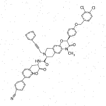 CN1C(=O)[C@H](c2ccc(OCc3ccc(Cl)c(Cl)c3)cc2)Oc2cc3c(cc21)C[C@@H](C(=O)NC(Cc1ccc(-c2ccc(C#N)cc2)cc1)C(=O)O)N(CC#Cc1ccccc1)C3